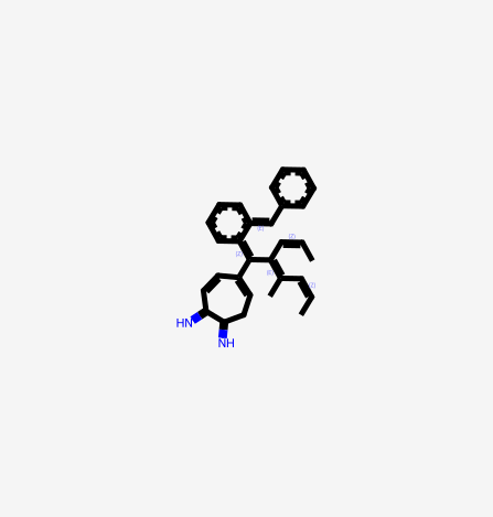 C\C=C/C(C)=C(\C=C/C)C(/C1=CCC(=N)C(=N)C=C1)=c1/cccc/c1=C\c1ccccc1